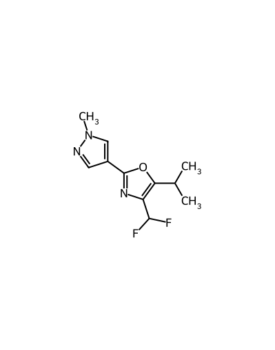 CC(C)c1oc(-c2cnn(C)c2)nc1C(F)F